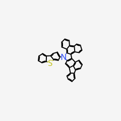 c1ccc2c(c1)-c1cccc3c1c-2cc1c3c2c3ccccc3c3ccccc3c2n1-c1ccc2c(c1)sc1ccccc12